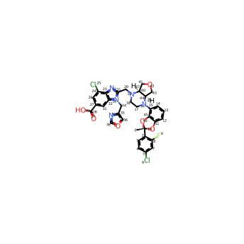 C[C@]1(c2ccc(Cl)cc2F)Oc2cccc(N3CCN(Cc4nc5c(Cl)cc(C(=O)O)cc5n4Cc4cocn4)[C@H]4COC[C@H]43)c2O1